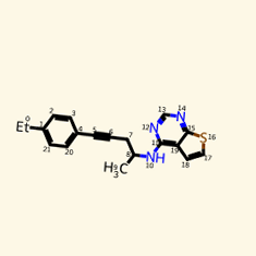 CCc1ccc(C#CCC(C)Nc2ncnc3sccc23)cc1